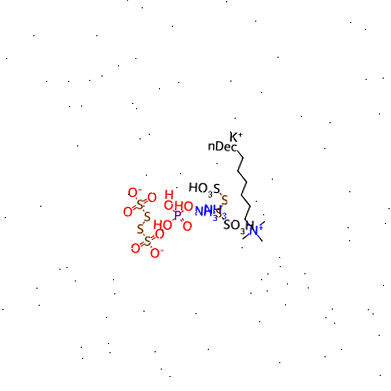 CCCCCCCCCCCCCCCC[N+](C)(C)C.N.N.O=P(O)(O)O.O=S(=O)(O)SSS(=O)(=O)O.O=S(=O)([O-])SSS(=O)(=O)[O-].[K+]